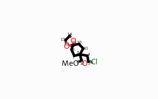 COC(=O)C1(CCCl)CCC2(CC1)OCCO2